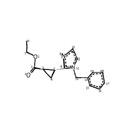 CCOC(=O)[C@@H]1C[C@H]1c1nccn1Cc1ccccc1